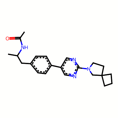 CC(=O)NC(C)Cc1ccc(-c2cnc(N3CCC4(CCC4)C3)nc2)cc1